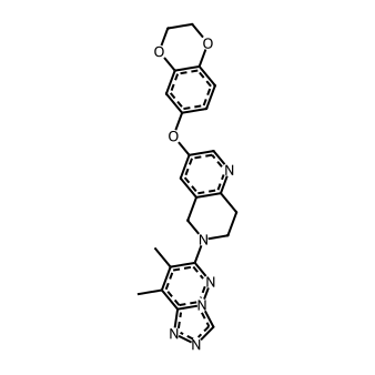 Cc1c(N2CCc3ncc(Oc4ccc5c(c4)OCCO5)cc3C2)nn2cnnc2c1C